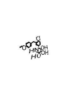 CCOc1ccc(Cc2cc([C@@H]3NC[C@H](O)[C@H](O)[C@H]3O)ccc2Cl)cc1